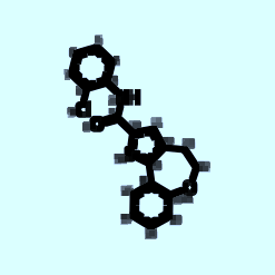 O=C(Nc1ccccc1Cl)c1cc2c(s1)-c1ccccc1OCC2